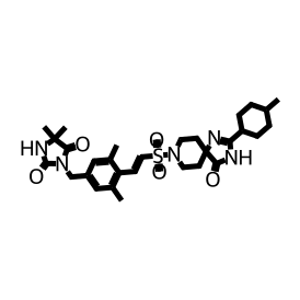 Cc1cc(CN2C(=O)NC(C)(C)C2=O)cc(C)c1C=CS(=O)(=O)N1CCC2(CC1)N=C(C1CCC(C)CC1)NC2=O